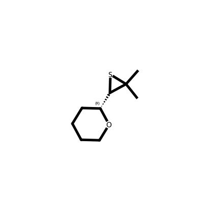 CC1(C)SC1[C@H]1CCCCO1